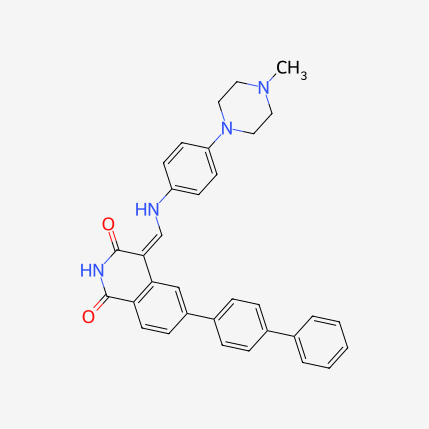 CN1CCN(c2ccc(NC=C3C(=O)NC(=O)c4ccc(-c5ccc(-c6ccccc6)cc5)cc43)cc2)CC1